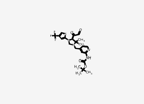 CC(C)(C)OC(=O)Nc1cc(CN2CN(c3cc(C(F)(F)F)cs3)C(C(=O)C=O)C2(C)C)ccn1